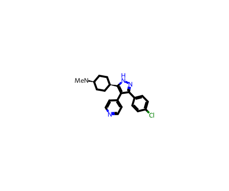 CN[C@H]1CC[C@@H](c2[nH]nc(-c3ccc(Cl)cc3)c2-c2ccncc2)CC1